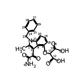 Cc1c(C(=O)C(N)=O)c2c(OC(C(=O)O)C(=O)O)cccc2n1Cc1ccccc1